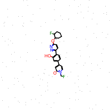 O=c1cc(-c2ccc(-c3ccc(O[C@@H]4CCCC[C@@H]4F)nn3)c(O)c2)ccn1CF